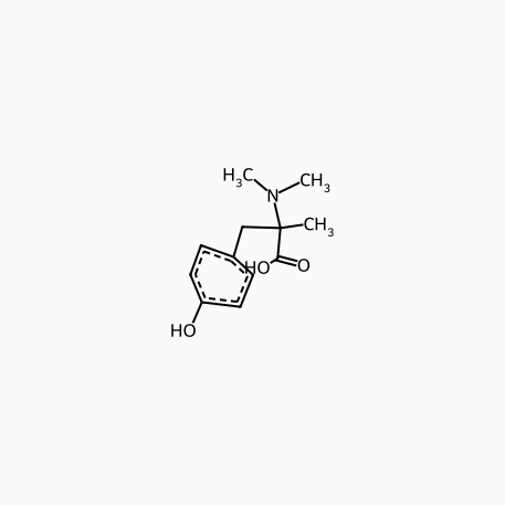 CN(C)C(C)(Cc1ccc(O)cc1)C(=O)O